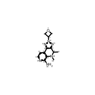 CC1c2nn(C3COC3)nc2-c2ccnc(N)c2N1C